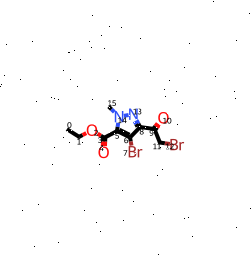 CCOC(=O)c1c(Br)c(C(=O)CBr)nn1C